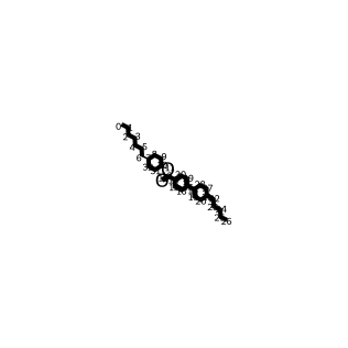 CCCCCCC[C@H]1CC[C@H](OC(=O)c2ccc(C3=CCC(CCCCC)CC3)cc2)CC1